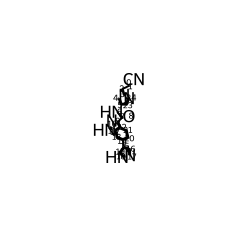 N#CCCn1cc(NC(=O)c2n[nH]c3cc(-c4cn[nH]c4)ccc23)cn1